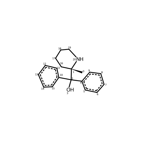 C[C@@]1(C(O)(c2ccccc2)c2ccccc2)CCCCN1